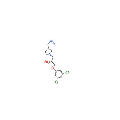 NCC1CCN(CC(O)COc2cc(Cl)cc(Cl)c2)C1